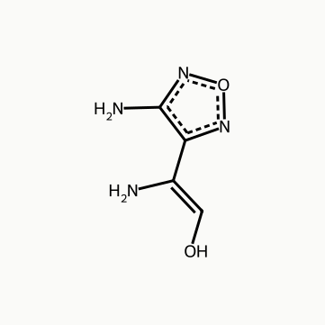 N/C(=C\O)c1nonc1N